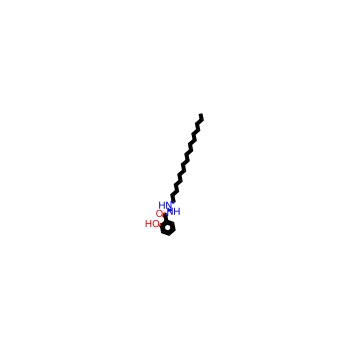 CCCCCCCCCCCCCCCCCCNNC(=O)c1ccccc1O